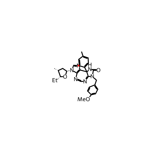 CC[C@H]1O[C@@H](n2cnc3c2N=CN=C2N(Cc4ccc(OC)cc4)C(=O)NC23c2ccc(C)cc2)C[C@H]1C